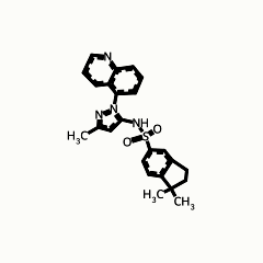 Cc1cc(NS(=O)(=O)c2ccc3c(c2)CCC3(C)C)n(-c2cccc3ncccc23)n1